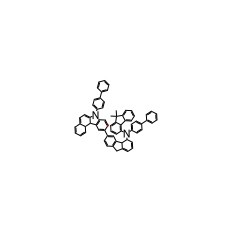 CC1(C)c2ccccc2-c2c(N(c3ccc(-c4ccccc4)cc3)C3C=CC=C4Cc5ccc(-c6ccc7c(c6)C6C(=CC=C8C=CC=CC86)N7c6ccc(-c7ccccc7)cc6)cc5C43)cccc21